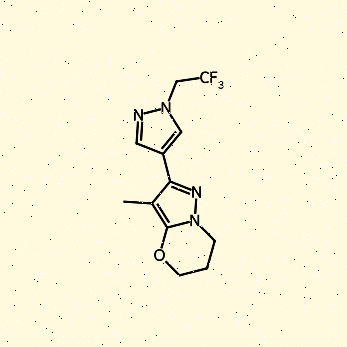 Cc1c(-c2cnn(CC(F)(F)F)c2)nn2c1OCCC2